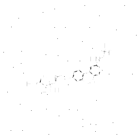 C[C@H](COc1ccc2c(c1)COc1cnc(NCC(F)(F)F)cc1-2)CC(C)(C)NC(=O)O